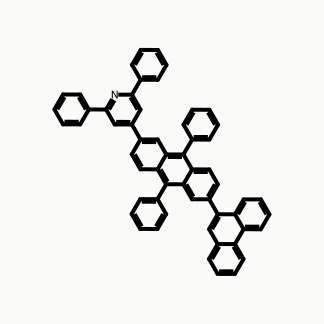 c1ccc(-c2cc(-c3ccc4c(-c5ccccc5)c5cc(-c6cc7ccccc7c7ccccc67)ccc5c(-c5ccccc5)c4c3)cc(-c3ccccc3)n2)cc1